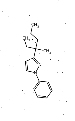 CCCC(C)(CC)c1ccn(-c2ccccc2)n1